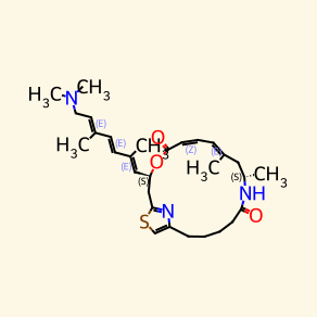 CC(/C=C/C(C)=C/[C@@H]1Cc2nc(cs2)CCCCC(=O)N[C@@H](C)C/C(C)=C/C=C\C(=O)O1)=C\CN(C)C